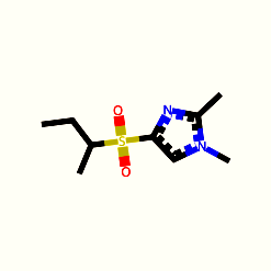 CCC(C)S(=O)(=O)c1cn(C)c(C)n1